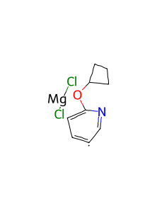 [Cl][Mg][Cl].[c]1ccc(OC2CCC2)nc1